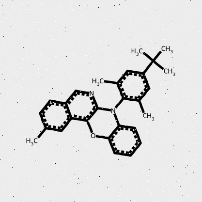 Cc1ccc2cnc3c(c2c1)Oc1ccccc1N3c1c(C)cc(C(C)(C)C)cc1C